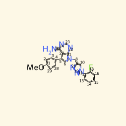 COc1ccc(-c2cn(Cc3cn(-c4ccccc4F)nn3)c3ncnc(N)c23)cc1